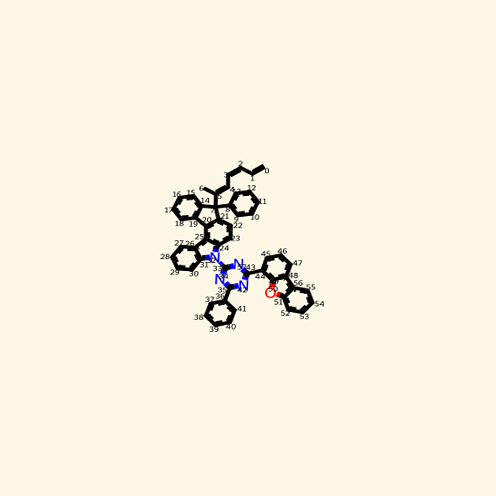 C=C/C=C\C=C(/C)C1(c2ccccc2)c2ccccc2-c2c1ccc1c2c2ccccc2n1-c1nc(-c2ccccc2)nc(-c2cccc3c2oc2ccccc23)n1